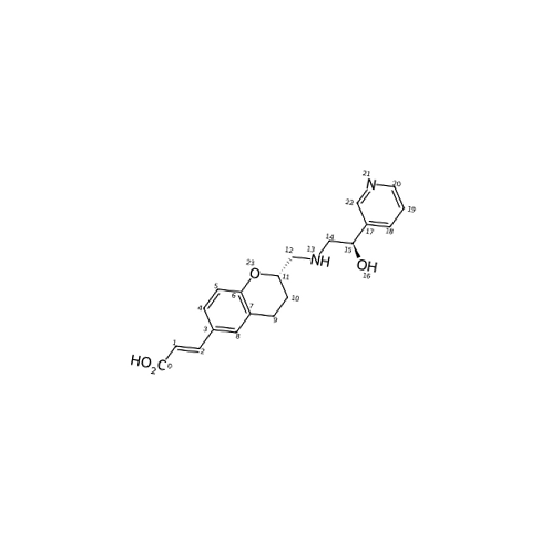 O=C(O)C=Cc1ccc2c(c1)CC[C@@H](CNC[C@H](O)c1cccnc1)O2